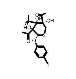 CC(=O)[C@]1(O)[C@@](O)(C(C)=O)CS[C@H](Oc2ccc(I)cc2)[C@@]1(O)C(C)=O